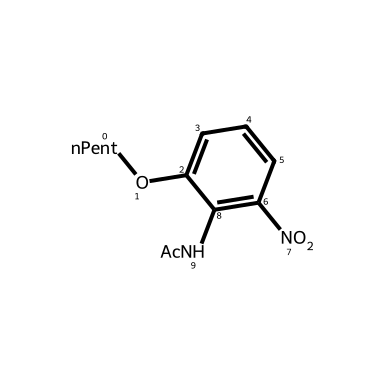 CCCCCOc1cccc([N+](=O)[O-])c1NC(C)=O